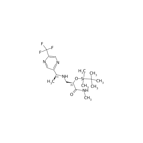 CNC(=O)[C@@H](CN[C@@H](C)c1cnc(C(F)(F)F)cn1)O[Si](C)(C)C(C)(C)C